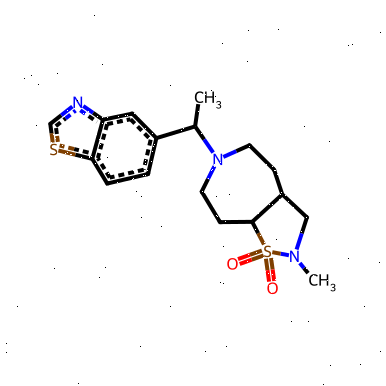 CC(c1ccc2scnc2c1)N1CCC2CN(C)S(=O)(=O)C2CC1